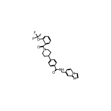 O=C(NCc1ccn2ccnc2c1)c1ccc(C2CCN(C(=O)c3ccccc3OC(F)(F)F)CC2)cc1